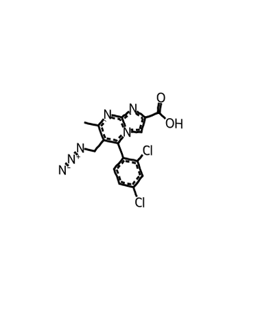 Cc1nc2nc(C(=O)O)cn2c(-c2ccc(Cl)cc2Cl)c1CN=[N+]=[N-]